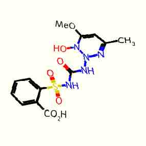 COC1=CC(C)=NN(NC(=O)NS(=O)(=O)c2ccccc2C(=O)O)N1O